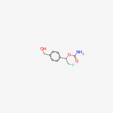 NC(=O)OC(CF)c1ccc(CO)cc1